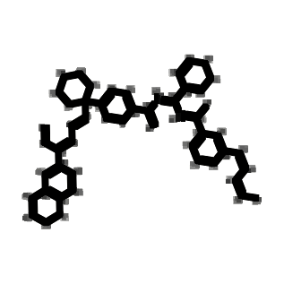 C=C/C(=C\C=C\C1(c2ccc(C(=C)/N=C(\N=C(/C)c3cccc(/C=C\C=C/C)c3)C3=CCCC=C3)cc2)CCCCC1)c1ccc2c(c1)C=CCC2